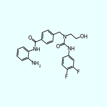 Nc1ccccc1NC(=O)c1ccc(CN(CCO)C(=O)Nc2ccc(F)c(F)c2)cc1